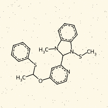 CSN1c2ccccc2N(C)C1c1cc(OC(C)Sc2ccccc2)ccn1